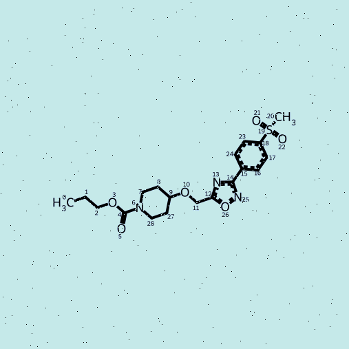 CCCOC(=O)N1CCC(OCc2nc(-c3ccc(S(C)(=O)=O)cc3)no2)CC1